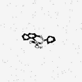 O=S(=O)(O)c1c(N=Nc2ccccc2)ccc2ccccc12